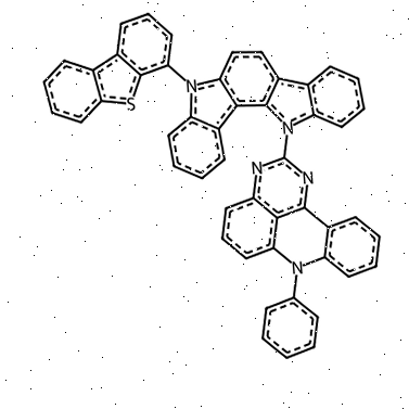 c1ccc(N2c3ccccc3-c3nc(-n4c5ccccc5c5ccc6c(c7ccccc7n6-c6cccc7c6sc6ccccc67)c54)nc4cccc2c34)cc1